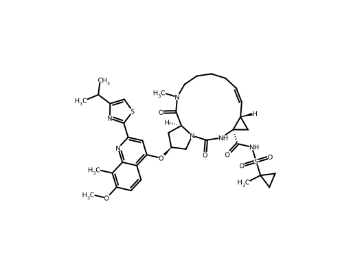 COc1ccc2c(O[C@H]3C[C@H]4C(=O)N(C)CCCC/C=C\[C@@H]5C[C@@]5(C(=O)NS(=O)(=O)C5(C)CC5)NC(=O)N4C3)cc(-c3nc(C(C)C)cs3)nc2c1C